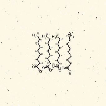 CCCCCCCCC(=O)[O-].CCCCCCCCC(=O)[O-].CCCCCCCCC(=O)[O-].CCCCCCCCC(=O)[O-].[Zr+4]